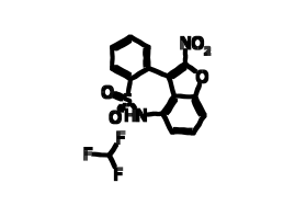 FC(F)F.O=[N+]([O-])c1oc2cccc3c2c1-c1ccccc1S(=O)(=O)N3